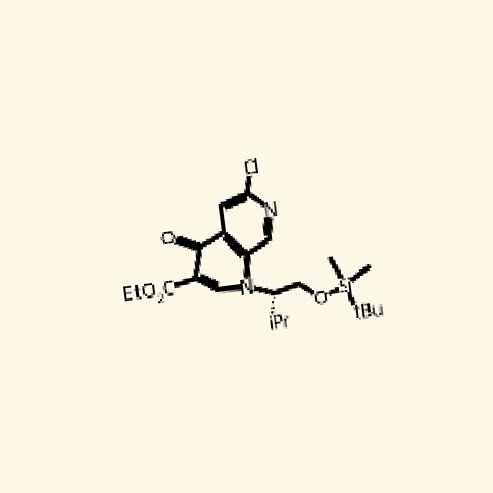 CCOC(=O)c1cn([C@H](CO[Si](C)(C)C(C)(C)C)C(C)C)c2cnc(Cl)cc2c1=O